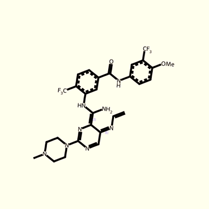 C=C/N=C1/C=NC(N2CCN(C)CC2)=N/C1=C(/N)Nc1cc(C(=O)Nc2ccc(OC)c(C(F)(F)F)c2)ccc1C(F)(F)F